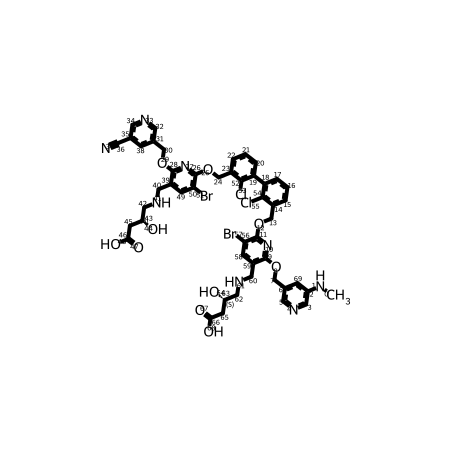 CNc1cncc(COc2nc(OCc3cccc(-c4cccc(COc5nc(OCc6cncc(C#N)c6)c(CNC[C@@H](O)CC(=O)O)cc5Br)c4Cl)c3Cl)c(Br)cc2CNC[C@@H](O)CC(=O)O)c1